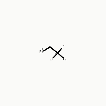 CCCC(I)(I)I